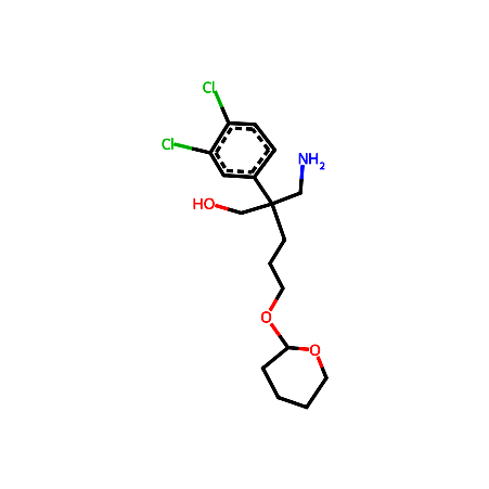 NCC(CO)(CCCOC1CCCCO1)c1ccc(Cl)c(Cl)c1